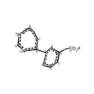 O=C(O)c1cccc(-c2ccncn2)c1